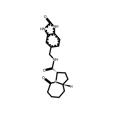 O=C(NCc1ccc2[nH]c(=O)[nH]c2c1)[C@@H]1CC[C@@H]2CCCCC(=O)N21